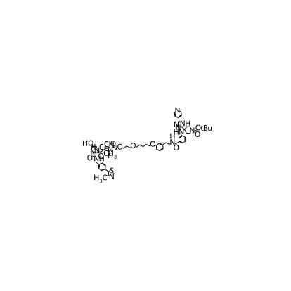 Cc1ncsc1-c1ccc(CNC(=O)[C@@H]2C[C@@H](O)CN2C(=O)C(C)(C)[C@H](C)NC(=O)COCCCOCCCCCOc2cccc(CCNC(=O)c3cccc(NC4(c5nnc(-c6ccncc6)[nH]5)CCN(C(=O)OC(C)(C)C)CC4)c3)c2)cc1